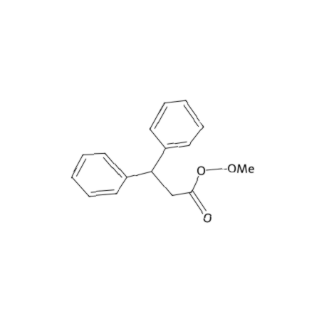 COOC(=O)CC(c1ccccc1)c1ccccc1